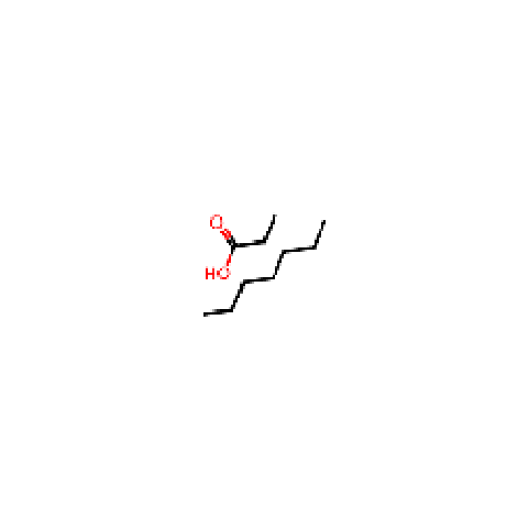 CCC(=O)O.CCCCCCC